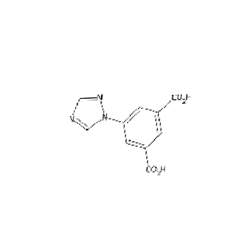 O=C(O)c1cc(C(=O)O)cc(-n2cncn2)c1